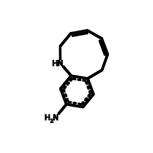 Nc1ccc2c(c1)NC/C=C\C=C/C2